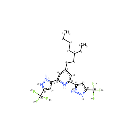 CCCCC(CC)CCc1cc(-c2cc(C(F)(F)F)n[nH]2)nc(-c2cc(C(F)(F)F)n[nH]2)c1